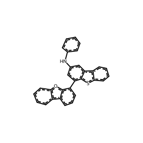 c1ccc(Nc2cc(-c3cccc4c3oc3ccccc34)c3sc4ccccc4c3c2)cc1